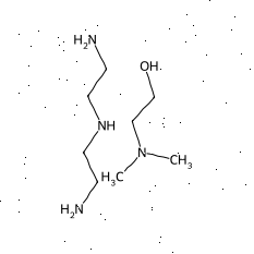 CN(C)CCO.NCCNCCN